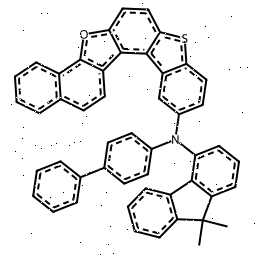 CC1(C)c2ccccc2-c2c(N(c3ccc(-c4ccccc4)cc3)c3ccc4sc5ccc6oc7c8ccccc8ccc7c6c5c4c3)cccc21